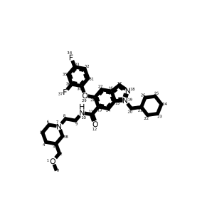 COCC1CCCN(CCNC(=O)c2cc3c(cnn3CC3CCCCC3)cc2Oc2ccc(F)cc2F)C1